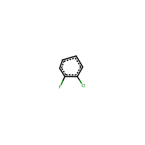 Fc1c[c]ccc1Cl